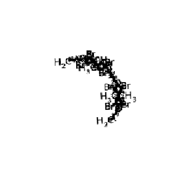 C=CCCCOc1c(Br)cc(C(C)(C)c2cc(Br)c(OCCCCCOc3c(Br)cc(C(C)(C)c4cc(Br)c(OCCCC=C)c(Br)c4)cc3Br)c(Br)c2)cc1Br